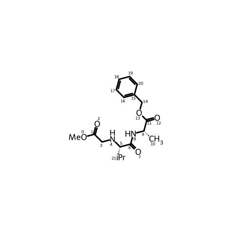 COC(=O)CN[C@H](C(=O)N[C@@H](C)C(=O)OCc1ccccc1)C(C)C